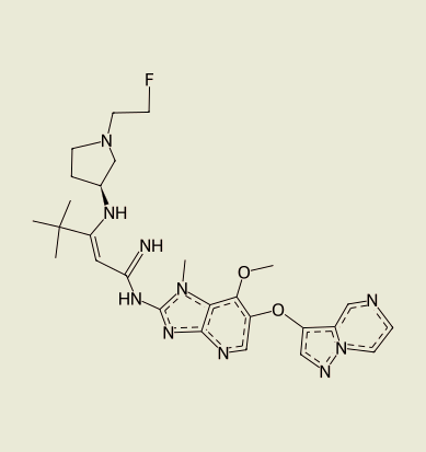 COc1c(Oc2cnn3ccncc23)cnc2nc(NC(=N)/C=C(\N[C@H]3CCN(CCF)C3)C(C)(C)C)n(C)c12